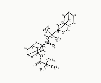 CCC(C)(C)C(=O)OC12CC3CC(C1)CC(C(=O)OC(C)(C)C14CCC5CCC(CC5C1)C4)(C3)C2